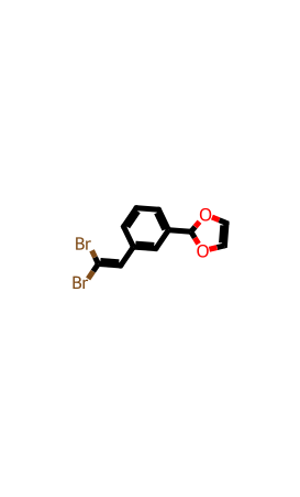 BrC(Br)=Cc1cccc(C2OC=CO2)c1